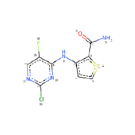 NC(=O)c1sccc1Nc1nc(Cl)ncc1F